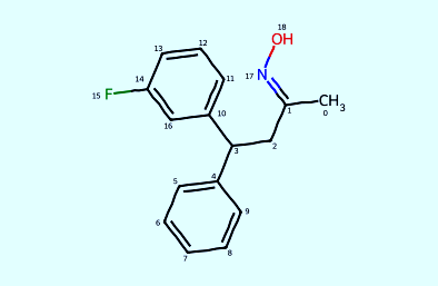 CC(CC(c1ccccc1)c1cccc(F)c1)=NO